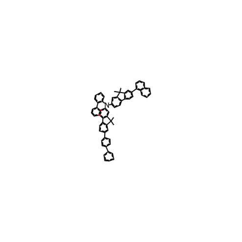 CC1(C)c2cc(-c3ccc(-c4ccccc4)cc3)ccc2-c2ccc(N(c3ccc4c(c3)C(C)(C)c3cc(-c5cccc6ccccc56)ccc3-4)c3ccccc3-c3ccccc3)cc21